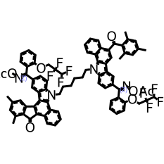 CC(=O)O/N=C(/c1ccc2c(c1)c1cc(C(=O)c3c(C)cc(C)cc3C)c3ccccc3c1n2CCCCCCn1c2ccc(/C(=N/OC(C)=O)c3ccccc3OCC(F)(F)C(F)F)cc2c2c3c(c4ccccc4c21)C(=O)c1c(C)cc(C)cc1-3)c1ccccc1OCC(F)(F)C(F)F